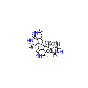 CC1(C)CC(CC(C(=O)O)(C2CC(C)(C)NC(C)(C)C2)C(C(=O)O)(C2CC(C)(C)NC(C)(C)C2)C(C(=O)O)(C(=O)O)C2CC(C)(C)NC(C)(C)C2)CC(C)(C)N1